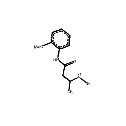 COc1ccccc1NC(=O)CC(NC(C)C)C(F)(F)F